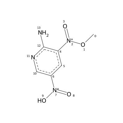 CO[N+](=O)c1cc([N+](=O)O)cnc1N